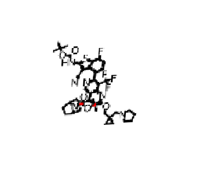 CC(C)(C)OC(=O)Nc1sc2c(F)ccc(-c3ncc4c(N5CC6CCC(C5)N6C(=O)OC(C)(C)C)nc(OCC5(CN6CCCC6)CC5)nc4c3C(F)(F)F)c2c1C#N